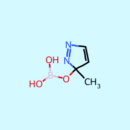 CC1(OB(O)O)C=CN=N1